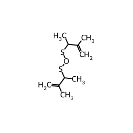 C=C(C)C(C)SOSC(C)C(=C)C